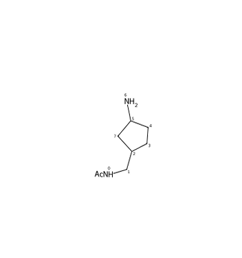 CC(=O)NCC1CCC(N)C1